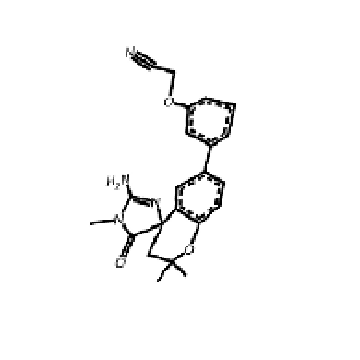 CN1C(=O)C2(CC(C)(C)Oc3ccc(-c4cccc(OCC#N)c4)cc32)N=C1N